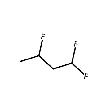 [CH2]C(F)CC(F)F